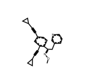 CO/N=C(\Cc1cccnc1)c1ccc(C#CC2CC2)cc1C#CC1CC1